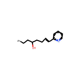 CC(C)CCC(O)CCC=Cc1ccccn1